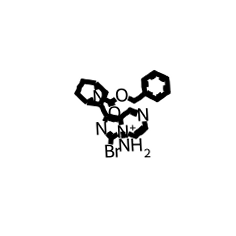 N[N+]12C=CN=CC1=C(C1CC3CCC1N3C(=O)OCc1ccccc1)N=C2Br